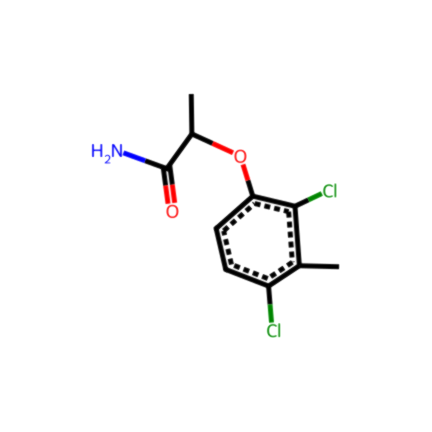 Cc1c(Cl)ccc(OC(C)C(N)=O)c1Cl